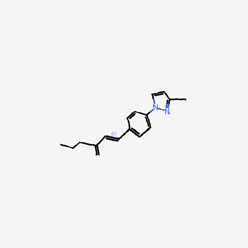 C=C(/C=C/c1ccc(-n2ccc(C)n2)cc1)CCC